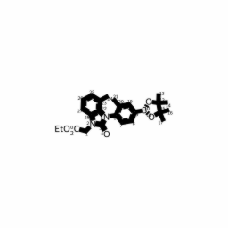 CCOC(=O)Cn1c(=O)n(-c2ccc(B3OC(C)(C)C(C)(C)O3)cc2C)c2c(C)cccc21